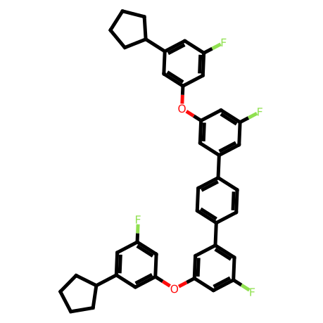 Fc1cc(Oc2cc(F)cc(C3CCCC3)c2)cc(-c2ccc(-c3cc(F)cc(Oc4cc(F)cc(C5CCCC5)c4)c3)cc2)c1